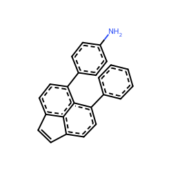 Nc1ccc(-c2ccc3c4c(ccc(-c5ccccc5)c24)C=C3)cc1